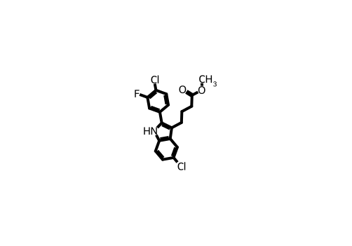 COC(=O)CCCc1c(-c2ccc(Cl)c(F)c2)[nH]c2ccc(Cl)cc12